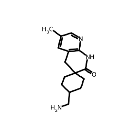 Cc1cnc2c(c1)CC1(CCC(CN)CC1)C(=O)N2